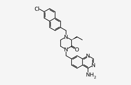 CC[C@H]1C(=O)N(Cc2ccc3c(N)ncnc3c2)CCN1Cc1ccc2cc(Cl)ccc2c1